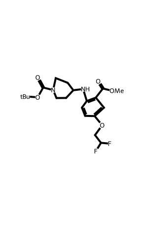 COC(=O)c1cc(OCC(F)F)ccc1NC1CCN(C(=O)OC(C)(C)C)CC1